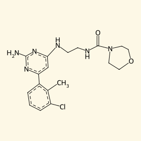 Cc1c(Cl)cccc1-c1cc(NCCNC(=O)N2CCOCC2)nc(N)n1